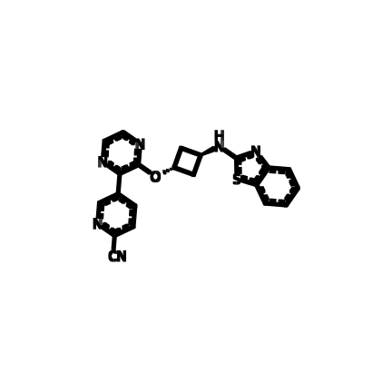 N#Cc1ccc(-c2nccnc2O[C@H]2C[C@H](Nc3nc4ccccc4s3)C2)cn1